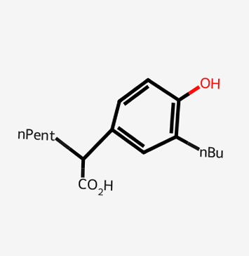 CCCCCC(C(=O)O)c1ccc(O)c(CCCC)c1